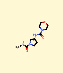 CNC(=O)N1CC[C@@H](NC(=O)N2CCOCC2)C1